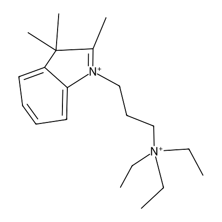 CC[N+](CC)(CC)CCC[N+]1=C(C)C(C)(C)c2ccccc21